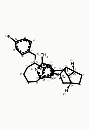 Cc1cc(N2C[C@H]3CC[C@@H](C2)[C@@H]3Nc2nc3n(n2)CCCC[C@H]3Cc2ccc(F)cc2)ncn1